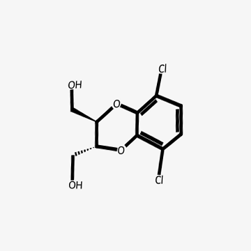 OC[C@H]1Oc2c(Cl)ccc(Cl)c2O[C@@H]1CO